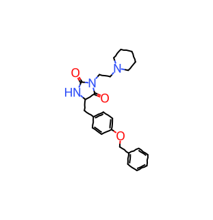 O=C1NC(Cc2ccc(OCc3ccccc3)cc2)C(=O)N1CCN1CCCCC1